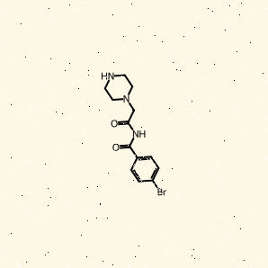 O=C(CN1CCNCC1)NC(=O)c1ccc(Br)cc1